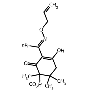 C=CCO/N=C(\CCC)C1=C(O)CC(C)(C)C(C)(C(=O)O)C1=O